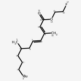 CCC(C)CCCC(C)CC=CC(C)=CC(=O)OCCF